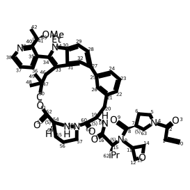 C=CC(=O)N1CC[C@H](C(=O)N(C2COC2)[C@H](C(=O)N[C@H]2Cc3cccc(c3)-c3ccc4c(c3)c(c(-c3cccnc3[C@H](C)OC)n4CC)CC(C)(C)COC(=O)[C@@H]3CCCN(N3)C2=O)C(C)C)C1